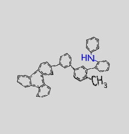 Cc1ccc(-c2cccc(-c3ccc4c5ccccc5c5ccccc5c4c3)c2)cc1-c1ccccc1Nc1ccccc1